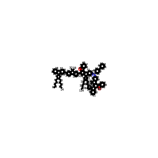 CCCCCCCC1(CCCCCCC)c2ccccc2-c2ccc(-c3ccc4c(c3)C(C)(C)c3cc(-c5cc6c(c7c5oc5ccccc57)-c5ccc(N(c7ccc(-c8ccccc8)cc7)c7ccc8c(c7)C(C)(C)c7c9c(c%10oc%11ccccc%11c%10c7-8)-c7ccccc7C9(C)C)cc5C6(CCCCCCC)CCCCCCC)ccc3-4)cc21